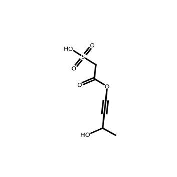 CC(O)C#COC(=O)CS(=O)(=O)O